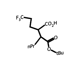 CCCC(C(=O)OC(C)(C)C)C(CCC(F)(F)F)C(=O)O